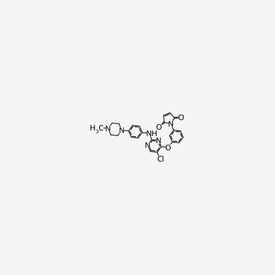 CN1CCN(c2ccc(Nc3ncc(Cl)c(Oc4cccc(N5C(=O)C=CC5=O)c4)n3)cc2)CC1